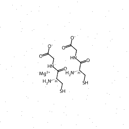 N[C@@H](CS)C(=O)NCC(=O)[O-].N[C@@H](CS)C(=O)NCC(=O)[O-].[Mg+2]